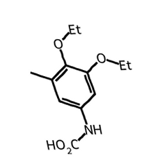 CCOc1cc(NC(=O)O)cc(C)c1OCC